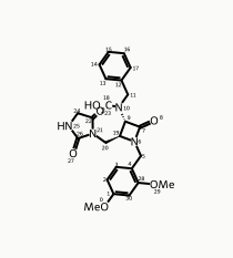 COc1ccc(CN2C(=O)[C@@H](N(Cc3ccccc3)C(=O)O)[C@@H]2CN2C(=O)CNC2=O)c(OC)c1